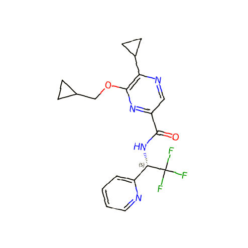 O=C(N[C@@H](c1ccccn1)C(F)(F)F)c1cnc(C2CC2)c(OCC2CC2)n1